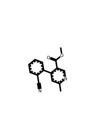 COC(=O)c1cnc(C)cc1-c1ccccc1C#N